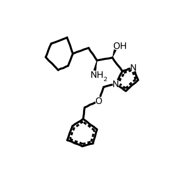 N[C@@H](CC1CCCCC1)[C@@H](O)c1nccn1COCc1ccccc1